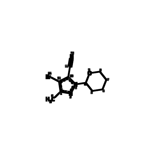 Cc1nn(C2CCCCO2)c(C#N)c1Br